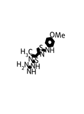 COc1ccc(Nc2nc(-c3sc(NC(=N)N)nc3C)cs2)cc1